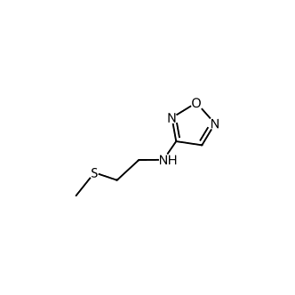 CSCCNc1cnon1